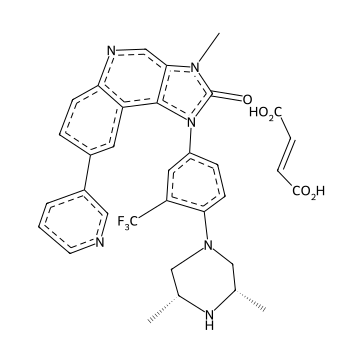 C[C@@H]1CN(c2ccc(-n3c(=O)n(C)c4cnc5ccc(-c6cccnc6)cc5c43)cc2C(F)(F)F)C[C@H](C)N1.O=C(O)C=CC(=O)O